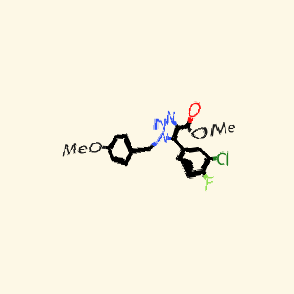 COC(=O)c1nnn(Cc2ccc(OC)cc2)c1-c1ccc(F)c(Cl)c1